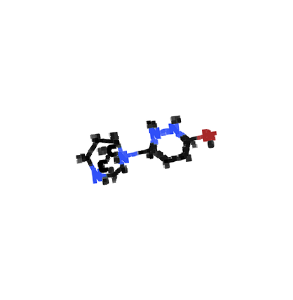 Brc1ccc(N2CCN3CCC2CC3)nn1